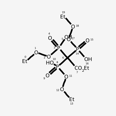 CCOOP(=O)(O)C(C(=O)OCC)(P(=O)(O)OOCC)P(=O)(O)OOCC